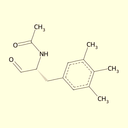 CC(=O)N[C@@H](C=O)Cc1cc(C)c(C)c(C)c1